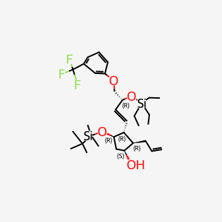 C=CC[C@@H]1[C@@H](C=C[C@H](COc2cccc(C(F)(F)F)c2)O[Si](CC)(CC)CC)[C@H](O[Si](C)(C)C(C)(C)C)C[C@@H]1O